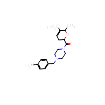 CC1OC(C(=O)N2CCN(Cc3ccc([N+](=O)[O-])cc3)CC2)CC=C1C(=O)O